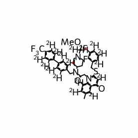 [2H]c1c([2H])c(F)c(F)c(CSc2c([2H])c(=O)c3c([2H])c(C)c([2H])c([2H])c3n2CC(=O)N(Cc2c([2H])c([2H])c(-c3c([2H])c([2H])c(C(F)(F)F)c([2H])c3[2H])c([2H])c2[2H])C2CCN(C([2H])([2H])COC)CC2)c1[2H]